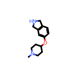 CN1CCC(Oc2ccc3c(c2)CNC3)CC1